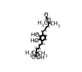 CC(C)(CCCCc1ccc(CCCCC(C)(C)C(=O)O)c(O)c1O)OC=O